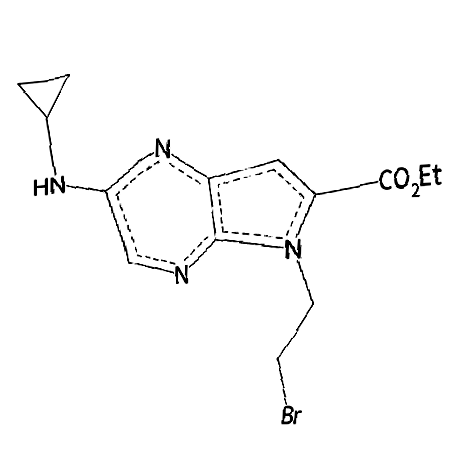 CCOC(=O)c1cc2nc(NC3CC3)cnc2n1CCBr